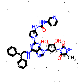 C[C@@H]1NC(=O)N([C@H]2CC(n3cnc4c(NCC(c5ccccc5)c5ccccc5)nc(N5CC[C@@H](NC(=O)Nc6cccnc6)C5)nc43)[C@H](O)[C@@H]2O)C1=O